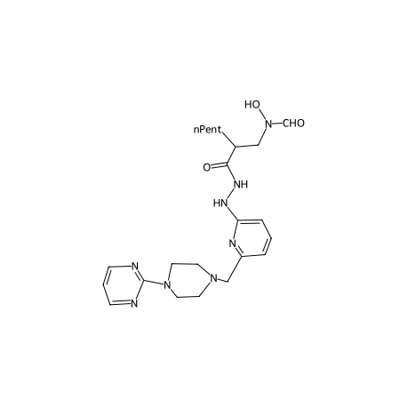 CCCCCC(CN(O)C=O)C(=O)NNc1cccc(CN2CCN(c3ncccn3)CC2)n1